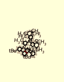 Cc1cc(N(c2ccc3c(c2)C(C)(C)CCC3(C)C)c2ccc3c(c2)C(C)(C)CCC3(C)C)cc(N(c2ccc3c(c2)oc2cccc(C(C)(C)C)c23)c2ccc(C(C)(C)C)cc2-c2ccccc2)c1